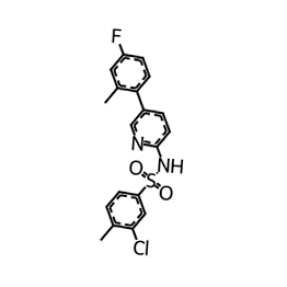 Cc1ccc(S(=O)(=O)Nc2ccc(-c3ccc(F)cc3C)cn2)cc1Cl